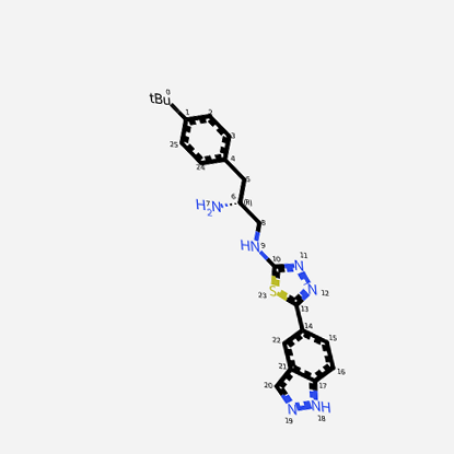 CC(C)(C)c1ccc(C[C@@H](N)CNc2nnc(-c3ccc4[nH]ncc4c3)s2)cc1